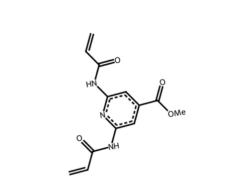 C=CC(=O)Nc1cc(C(=O)OC)cc(NC(=O)C=C)n1